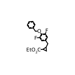 CCOC(=O)C1CC1Cc1cc(F)c(OCc2ccccc2)c(F)c1